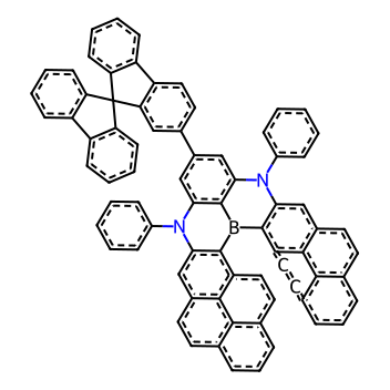 c1ccc(N2c3cc(-c4ccc5c(c4)C4(c6ccccc6-c6ccccc64)c4ccccc4-5)cc4c3B(c3c2cc2ccc5cccc6ccc3c2c56)c2c(cc3ccc5cccc6ccc2c3c56)N4c2ccccc2)cc1